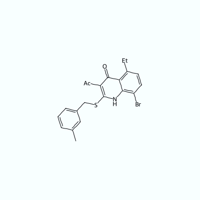 CCc1ccc(Br)c2[nH]c(SCc3cccc(C)c3)c(C(C)=O)c(=O)c12